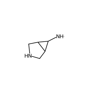 [NH]C1C2CNCC12